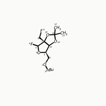 CCCCOC[C@H]1OC(F)[C@]2(CF)OC(C)(C)OC12